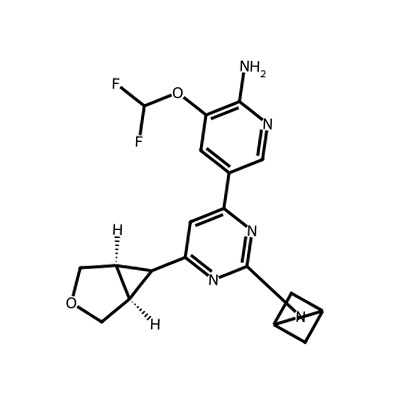 Nc1ncc(-c2cc(C3[C@H]4COC[C@@H]34)nc(N3CC4CC3C4)n2)cc1OC(F)F